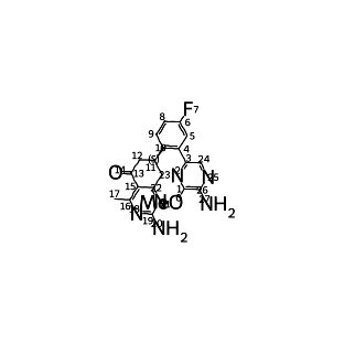 COc1nc(-c2cc(F)ccc2[C@@H]2CC(=O)c3c(C)nc(N)nc3C2)cnc1N